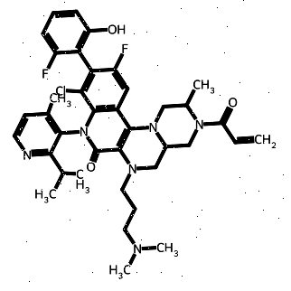 C=CC(=O)N1CC2CN(CCCN(C)C)c3c(c4cc(F)c(-c5c(O)cccc5F)c(Cl)c4n(-c4c(C)ccnc4C(C)C)c3=O)N2CC1C